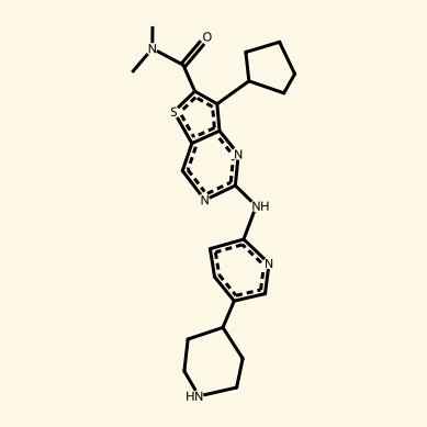 CN(C)C(=O)c1sc2cnc(Nc3ccc(C4CCNCC4)cn3)nc2c1C1CCCC1